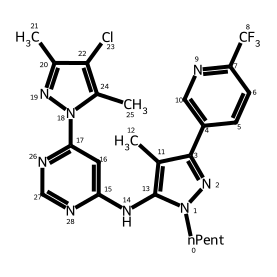 CCCCCn1nc(-c2ccc(C(F)(F)F)nc2)c(C)c1Nc1cc(-n2nc(C)c(Cl)c2C)ncn1